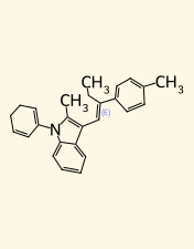 CC/C(=C\c1c(C)n(C2=CCCC=C2)c2ccccc12)c1ccc(C)cc1